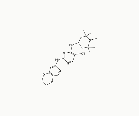 CN1C(C)(C)CC(Nc2nc(Nc3ccc4c(c3)OCCO4)ncc2C#N)CC1(C)C